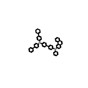 C1=C(c2ccc(N(c3ccc(-c4ccccc4)cc3)c3ccc(-c4ccc(N(c5ccccc5)c5ccc6ccc7ccccc7c6c5)cc4)cc3)cc2)CCCC1